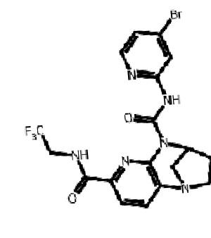 O=C(NCC(F)(F)F)c1ccc2c(n1)N(C(=O)Nc1cc(Br)ccn1)C1CCN2C1